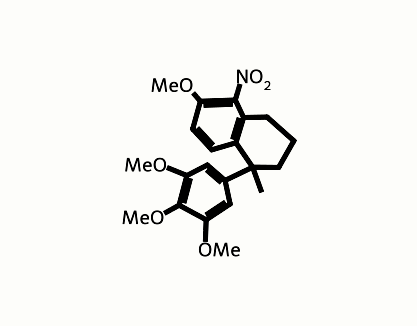 COc1cc(C2(C)CCCc3c2ccc(OC)c3[N+](=O)[O-])cc(OC)c1OC